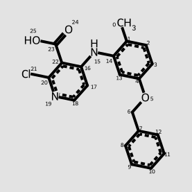 Cc1ccc(OCc2ccccc2)cc1Nc1ccnc(Cl)c1C(=O)O